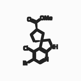 COC(=O)[C@@H]1CC[C@@]2(CNc3ncc(Br)c(Cl)c32)C1